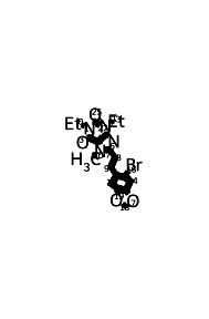 CCn1c(=O)c2c(nc(C=Cc3cc4c(cc3Br)OCO4)n2C)n(CC)c1=O